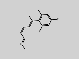 C/N=C/C=C\C=C(/C)c1c(C)cc(F)cc1F